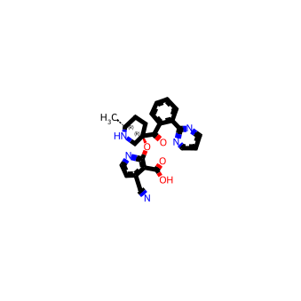 C[C@@H]1CC[C@](Oc2nccc(C#N)c2C(=O)O)(C(=O)c2ccccc2-c2ncccn2)CN1